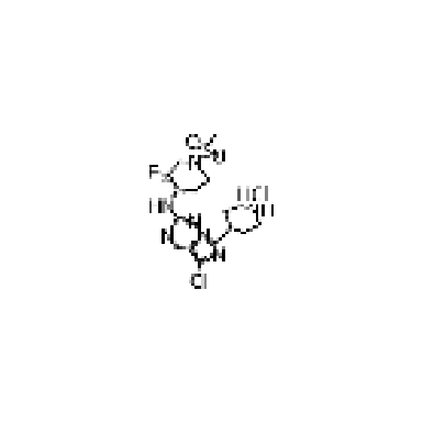 CS(=O)(=O)N1CC[C@@H](Nc2ncc3c(Cl)nc(C4CCNCC4)n3n2)[C@H](F)C1.Cl